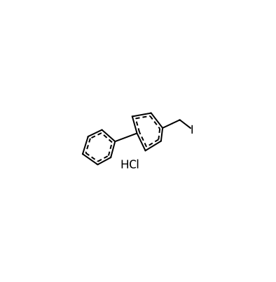 Cl.ICc1ccc(-c2ccccc2)cc1